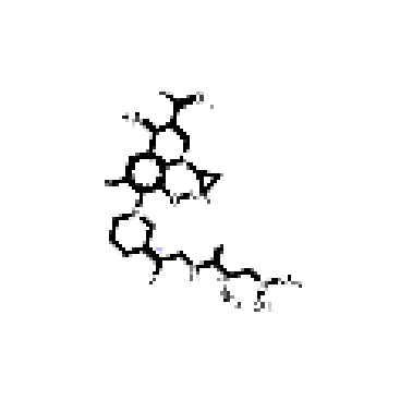 C=C(O)C1=CN(C2CC2)c2c(cc(F)c(N3CCC/C(=C(\F)CNC(=O)[C@@H](N)CN(C)C)C3)c2OC)C1=C